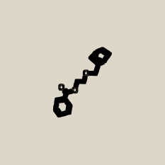 O=C(OCCOCC1CC2C=CC1C2)c1ccccc1